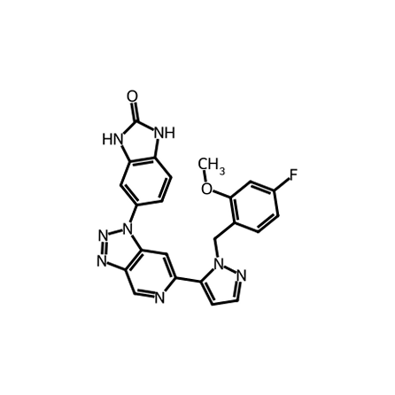 COc1cc(F)ccc1Cn1nccc1-c1cc2c(cn1)nnn2-c1ccc2[nH]c(=O)[nH]c2c1